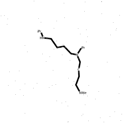 CNCCCCN(CCCCNC(C)C)C(C)C